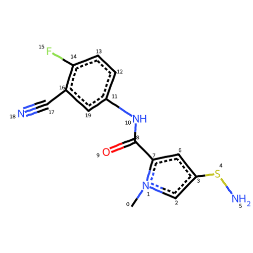 Cn1cc(SN)cc1C(=O)Nc1ccc(F)c(C#N)c1